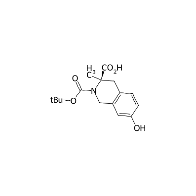 CC(C)(C)OC(=O)N1Cc2cc(O)ccc2C[C@]1(C)C(=O)O